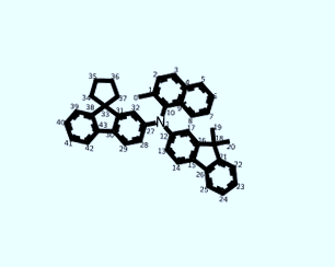 Cc1ccc2ccccc2c1N(c1ccc2c(c1)C(C)(C)c1ccccc1-2)c1ccc2c(c1)C1(CCCC1)c1ccccc1-2